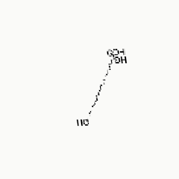 O=C(O)C(O)CCCCCCCCCCCCCCCCCCCCCCCCO